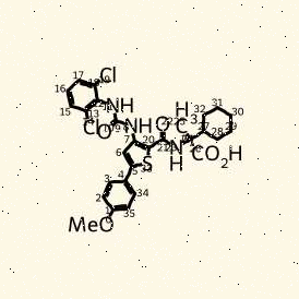 COc1ccc(-c2cc(NC(=O)Nc3c(Cl)cccc3Cl)c(C(=O)N[C@](C)(C(=O)O)C3CCCCC3)s2)cc1